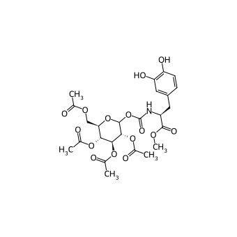 COC(=O)[C@H](Cc1ccc(O)c(O)c1)NC(=O)OC1O[C@H](COC(C)=O)[C@@H](OC(C)=O)[C@H](OC(C)=O)[C@H]1OC(C)=O